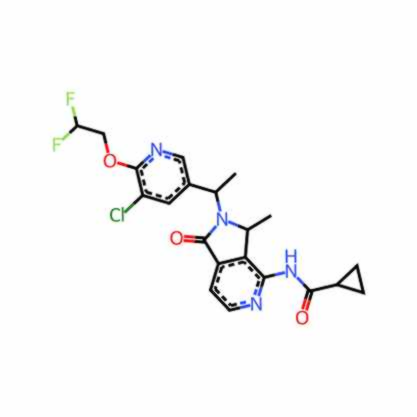 CC(c1cnc(OCC(F)F)c(Cl)c1)N1C(=O)c2ccnc(NC(=O)C3CC3)c2C1C